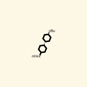 CCCCCCC1CCC([C@H]2CC[C@H](CCCC)CC2)CC1